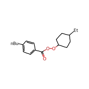 CCCCc1ccc(C(=O)OO[C]2CCC(CC)CC2)cc1